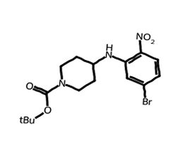 CC(C)(C)OC(=O)N1CCC(Nc2cc(Br)ccc2[N+](=O)[O-])CC1